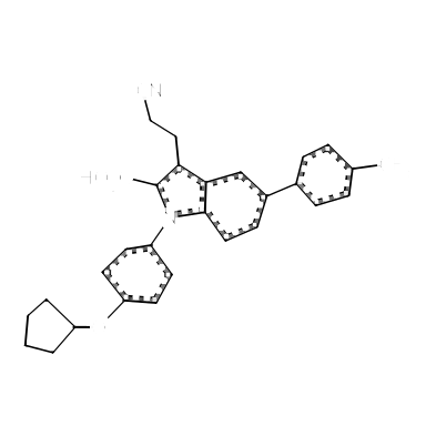 N#CCCc1c(C(=O)O)n(-c2ccc(OC3CCCC3)cc2)c2ccc(-c3ccc(C(F)(F)F)cc3)cc12